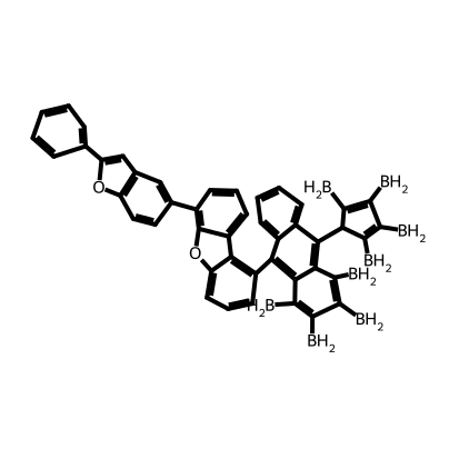 BC1=C(B)C(c2c3ccccc3c(-c3cccc4oc5c(-c6ccc7oc(-c8ccccc8)cc7c6)cccc5c34)c3c(B)c(B)c(B)c(B)c23)C(B)=C1B